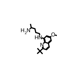 COc1cc(NCCCC(C)N)c2nc(C(C)(C)C)ccc2c1